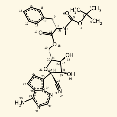 CC(C)(C)OC(=O)N[C@@H](Cc1ccccc1)C(=O)OC[C@H]1O[C@@](C#N)(c2ccc3c(N)ncnn23)[C@H](O)[C@@H]1O